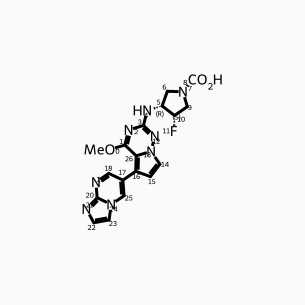 COc1nc(N[C@@H]2CN(C(=O)O)C[C@@H]2F)nn2ccc(-c3cnc4nccn4c3)c12